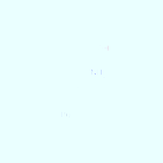 CC(C)(C)c1ccc(CC(N)CO)cc1